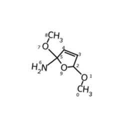 COC1C=CC(N)(OC)O1